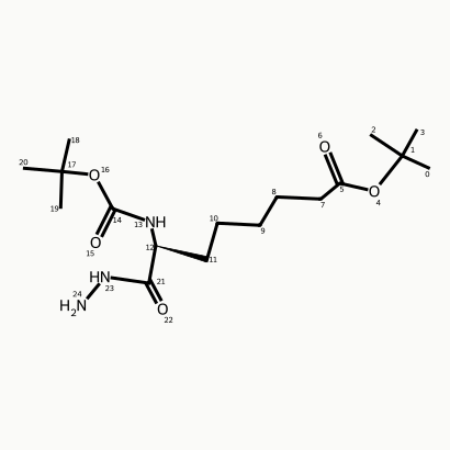 CC(C)(C)OC(=O)CCCCC[C@H](NC(=O)OC(C)(C)C)C(=O)NN